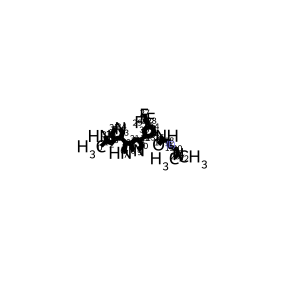 Cc1cc2c(-c3c[nH]c4ncc(-c5cc(NC(=O)/C=C/CN(C)C)cc(C(F)(F)F)c5)cc34)cncc2[nH]1